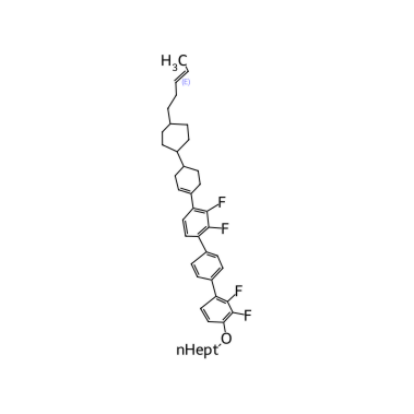 C/C=C/CCC1CCC(C2CC=C(c3ccc(-c4ccc(-c5ccc(OCCCCCCC)c(F)c5F)cc4)c(F)c3F)CC2)CC1